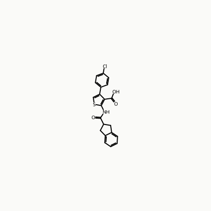 O=C(O)c1c(-c2ccc(Cl)cc2)csc1NC(=O)C1Cc2ccccc2C1